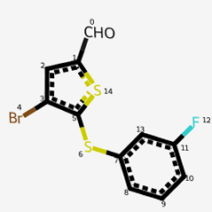 O=Cc1cc(Br)c(Sc2cccc(F)c2)s1